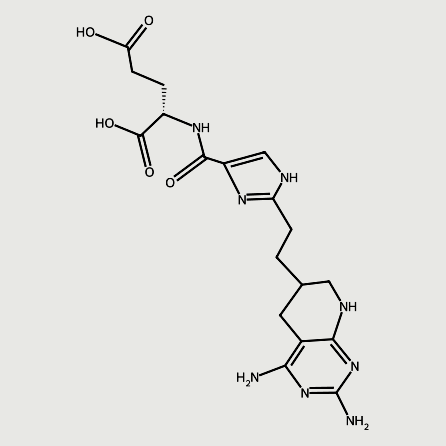 Nc1nc(N)c2c(n1)NCC(CCc1nc(C(=O)N[C@@H](CCC(=O)O)C(=O)O)c[nH]1)C2